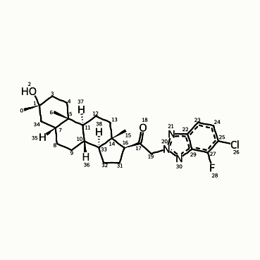 C[C@@]1(O)CC[C@@]2(C)[C@H](CC[C@@H]3[C@@H]2CC[C@]2(C)[C@@H](C(=O)Cn4nc5ccc(Cl)c(F)c5n4)CC[C@@H]32)C1